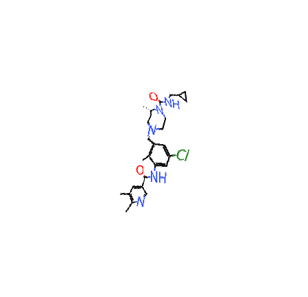 Cc1cc(C(=O)Nc2cc(Cl)cc(CN3CCN(C(=O)NCC4CC4)[C@@H](C)C3)c2C)cnc1C